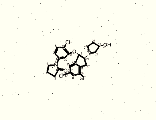 O=C1CCCN1c1ccc(Cl)c(O[C@H]2c3cc(Cl)cc(F)c3C[C@H]2N2CC[C@@H](O)C2)c1